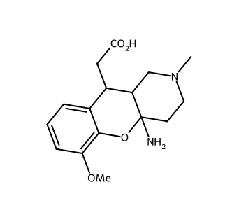 COc1cccc2c1OC1(N)CCN(C)CC1C2CC(=O)O